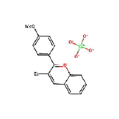 CCc1cc2ccccc2[o+]c1-c1ccc(OC)cc1.[O-][Cl+3]([O-])([O-])[O-]